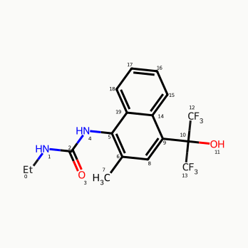 CCNC(=O)Nc1c(C)cc(C(O)(C(F)(F)F)C(F)(F)F)c2ccccc12